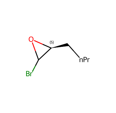 CCCC[C@@H]1OC1Br